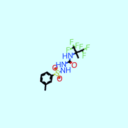 Cc1cccc(S(=O)(=O)NNC(=O)NC(C)(C(F)(F)F)C(F)(F)F)c1